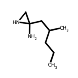 CCCC(C)CC1(N)CN1